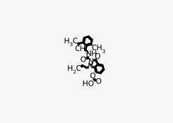 C=CCn1c2c(OC(=O)O)cccc2c(=O)n1C(=O)NCc1c(C)cccc1C(C)C